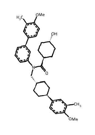 COc1ccc(-c2cccc(N(C[C@H]3CC[C@H](c4ccc(OC)c(C)c4)CC3)C(=O)[C@H]3CC[C@H](O)CC3)c2)cc1C